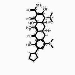 CN(C)c1cc(C2CCCC2)c(O)c2c1C[C@H]1C[C@H]3[C@H](N(C)C)C(O)=C(C(N)=O)C(=O)[C@@]3(O)C(O)=C1C2=O